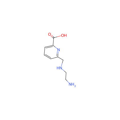 NCCNCc1cccc(C(=O)O)n1